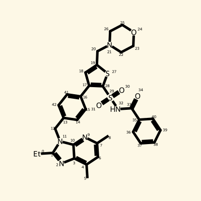 CCc1nc2c(C)cc(C)nc2n1Cc1ccc(-c2cc(CN3CCOCC3)sc2S(=O)(=O)NC(=O)c2ccccc2)cc1